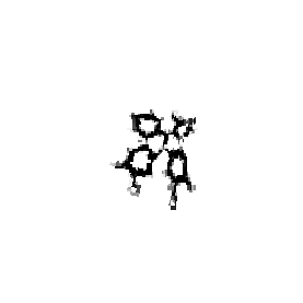 Cc1ccc(B(c2ccc(C)c(Cl)c2)C(c2ccccc2)c2nc[nH]c2C)cc1Cl